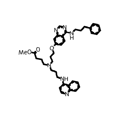 COC(=O)CCCN(CCCNc1ccnc2ccccc12)CCCOc1ccc2c(NCCCc3ccccc3)ncnc2c1